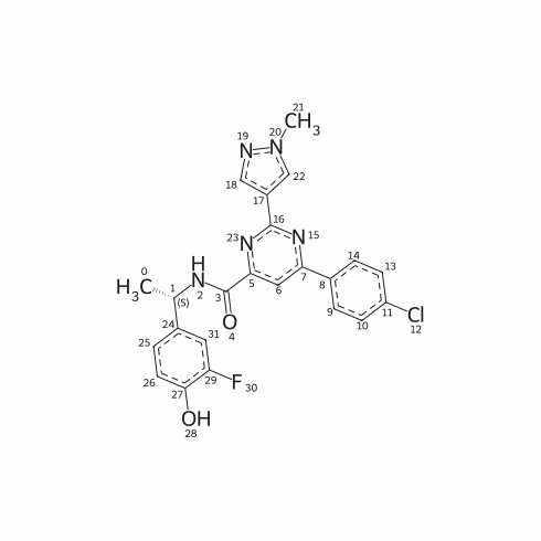 C[C@H](NC(=O)c1cc(-c2ccc(Cl)cc2)nc(-c2cnn(C)c2)n1)c1ccc(O)c(F)c1